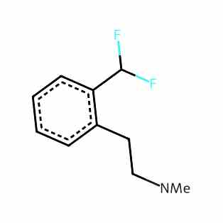 CNCCc1ccccc1C(F)F